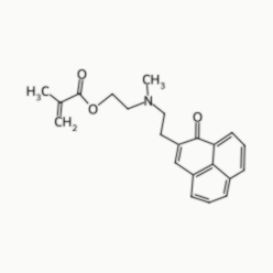 C=C(C)C(=O)OCCN(C)CCC1=Cc2cccc3cccc(c23)C1=O